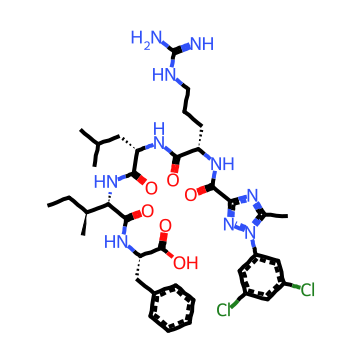 CC[C@H](C)[C@H](NC(=O)[C@H](CC(C)C)NC(=O)[C@H](CCCNC(=N)N)NC(=O)c1nc(C)n(-c2cc(Cl)cc(Cl)c2)n1)C(=O)N[C@@H](Cc1ccccc1)C(=O)O